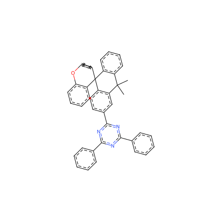 CC1(C)c2ccccc2C2(c3ccccc3Oc3ccccc32)c2ccc(-c3nc(-c4ccccc4)nc(-c4ccccc4)n3)cc21